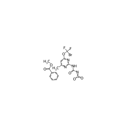 COC(=O)c1ccccc1.Cc1cc(OC(F)(F)Br)nc(NC(=O)N=S(=O)=O)n1